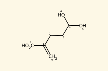 C=C(CCC(O)O)C(=O)O